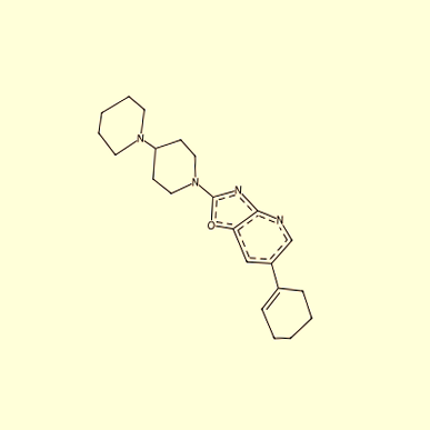 C1=C(c2cnc3nc(N4CCC(N5CCCCC5)CC4)oc3c2)CCCC1